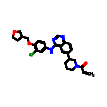 C=CC(=O)N1CCCC(c2ccc3ncnc(Nc4ccc(OCC5CCOC5)c(Cl)c4)c3c2)C1